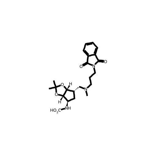 CN(CCCN1C(=O)c2ccccc2C1=O)C[C@@H]1C[C@@H](NC(=O)O)[C@@H]2OC(C)(C)O[C@H]12